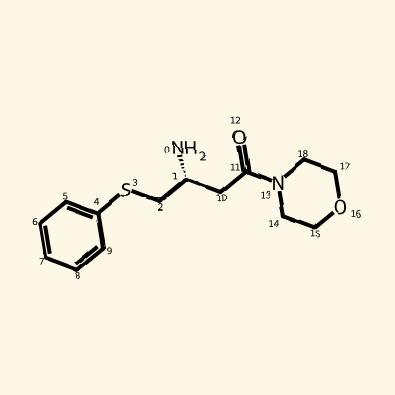 N[C@@H](CSc1ccccc1)CC(=O)N1CCOCC1